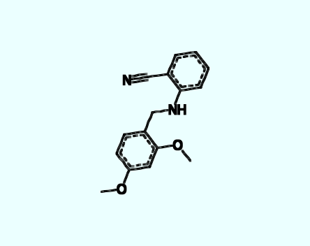 COc1ccc(CNc2ccccc2C#N)c(OC)c1